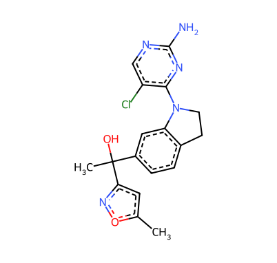 Cc1cc(C(C)(O)c2ccc3c(c2)N(c2nc(N)ncc2Cl)CC3)no1